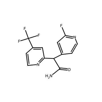 NC(=O)C(c1ccnc(F)c1)c1cc(C(F)(F)F)ccn1